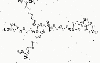 CC(C)CCCCCCOc1cc(C(=O)NCCOCCOc2ccc(C(N)c3ccc(Cl)cc3)cc2)cc(OCCCCCCC(C)C)c1OCCCCCCC(C)C